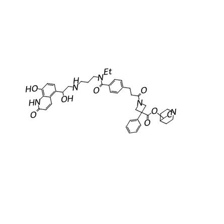 CCN(CCCNCC(O)c1ccc(O)c2[nH]c(=O)ccc12)C(=O)c1ccc(CCC(=O)N2CC(C(=O)OC3CN4CCC3CC4)(c3ccccc3)C2)cc1